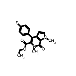 CCOC(=O)c1c(-c2ccc(F)cc2)c2ccn(C)c2c(=O)n1C